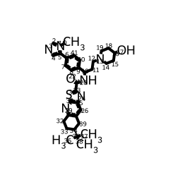 Cn1cncc1-c1ccc(C(CCN2CCC(O)CC2)NC(=O)c2nc3cc4c(nc3s2)CC[C@H](C(C)(C)C)C4)cc1